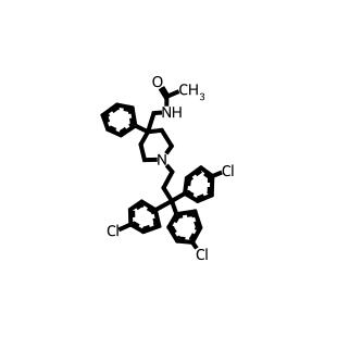 CC(=O)NCC1(c2ccccc2)CCN(CCC(c2ccc(Cl)cc2)(c2ccc(Cl)cc2)c2ccc(Cl)cc2)CC1